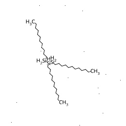 CCCCCCCCCCCC[SiH2][SiH](CCCCCCCCCCCC)[SiH2]CCCCCCCCCCCC